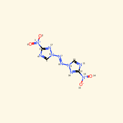 O=[N+]([O-])c1ncn(N=Nn2cnc([N+](=O)[O-])n2)n1